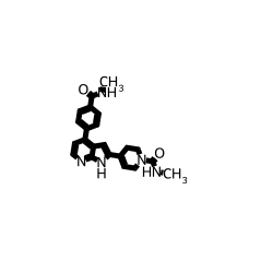 CNC(=O)c1ccc(-c2ccnc3[nH]c(C4=CCN(C(=O)NC)CC4)cc23)cc1